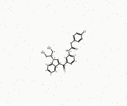 O=C(Cc1ccc(Cl)cc1)Nc1cc(C(=O)c2cn(C(CO)CO)c3ncncc23)ccn1